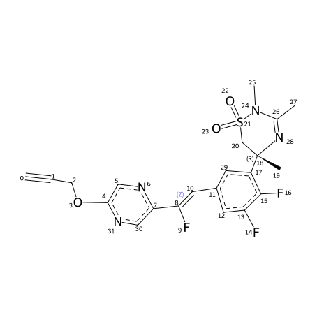 C#CCOc1cnc(/C(F)=C/c2cc(F)c(F)c([C@]3(C)CS(=O)(=O)N(C)C(C)=N3)c2)cn1